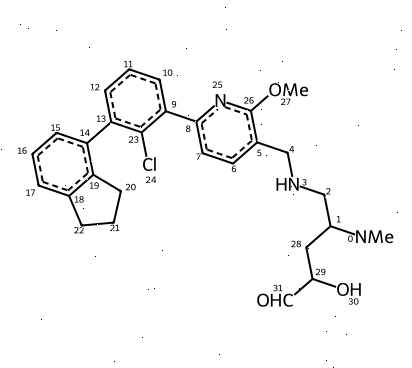 CNC(CNCc1ccc(-c2cccc(-c3cccc4c3CCC4)c2Cl)nc1OC)CC(O)C=O